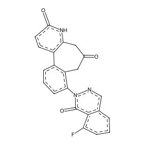 O=C1Cc2[nH]c(=O)ccc2-c2cccc(-n3ncc4cccc(F)c4c3=O)c2C1